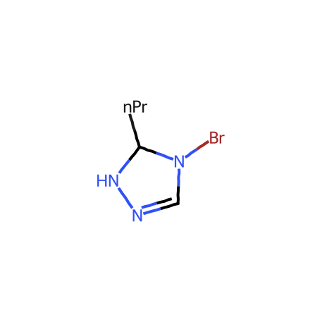 CCCC1NN=CN1Br